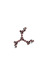 c1ccc(-c2ccc(-c3ccc(N(c4ccccc4)c4ccc(-c5ccc(-c6ccc(N(c7ccc(-c8ccc(-c9ccc(N(c%10ccccc%10)c%10ccc(-c%11ccc(-c%12ccccc%12)s%11)cc%10)cc9)cc8)cc7)c7ccc(-c8ccc(-c9ccc(N(c%10ccc(C%11CCCS%11)cc%10)C%10CCCCC%10)cc9)cc8)cc7)cc6)cc5)cc4)cc3)s2)cc1